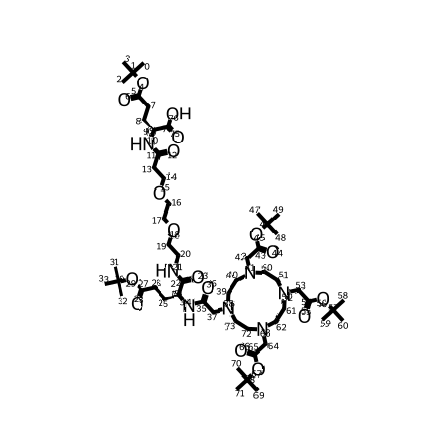 CC(C)(C)OC(=O)CC[C@H](NC(=O)CCOCCOCCNC(=O)[C@H](CCC(=O)OC(C)(C)C)NC(=O)CN1CCN(CC(=O)OC(C)(C)C)CCN(CC(=O)OC(C)(C)C)CCN(CC(=O)OC(C)(C)C)CC1)C(=O)O